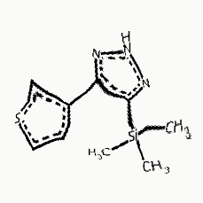 C[Si](C)(C)c1n[nH]nc1-c1ccsc1